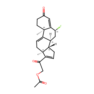 CC(=O)OCC(=O)C1=CC[C@H]2[C@@H]3C[C@H](F)C4=CC(=O)CC[C@]4(C)C3=CC[C@]12C